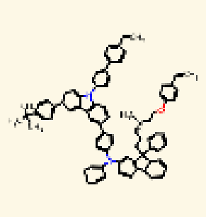 C=Cc1ccc(OCC[SiH](C)CCCC2(c3ccccc3)c3cc(N(C4=CCCC=C4)c4ccc(-c5ccc6c(c5)c5c(n6C6C=CC(c7ccc(C=C)cc7)=CC6)=CCC(c6ccc(C(C)(C)C)cc6)C=5)cc4)ccc3C3C=CC=CC32)cc1